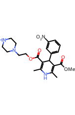 COC(=O)C1=C(C)NC(C)=C(C(=O)OCCN2CCNCC2)C1c1cccc([N+](=O)[O-])c1